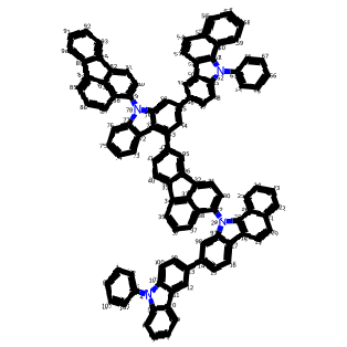 c1ccc(-n2c3ccccc3c3cc(-c4ccc5c6ccc7ccccc7c6n(-c6ccc7c8c(cccc68)-c6ccc(-c8cc(-c9ccc%10c(c9)c9ccc%11ccccc%11c9n%10-c9ccccc9)cc9c8c8ccccc8n9-c8ccc9c%10c(cccc8%10)-c8ccccc8-9)cc6-7)c5c4)ccc32)cc1